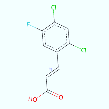 O=C(O)/C=C/c1cc(F)c(Cl)cc1Cl